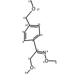 COC/C(=N\OC)c1ccc(COC)cc1